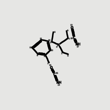 CCN(CC)CC.Cc1ccccc1.N=C=O.N=C=O